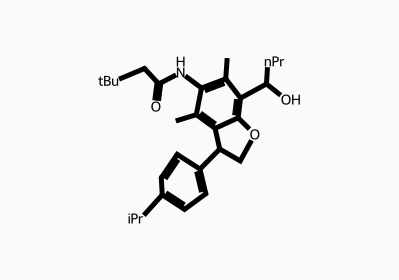 CCCC(O)c1c(C)c(NC(=O)CC(C)(C)C)c(C)c2c1OCC2c1ccc(C(C)C)cc1